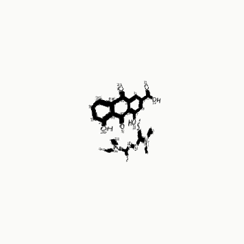 CN(C)C(=S)SSC(=S)N(C)C.O=C(O)c1cc(O)c2c(c1)C(=O)c1cccc(O)c1C2=O